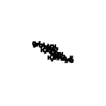 C[Si](C)(CCCOCC1CO1)c1ccc([Si](C)(C)CCCOCC2CO2)cc1